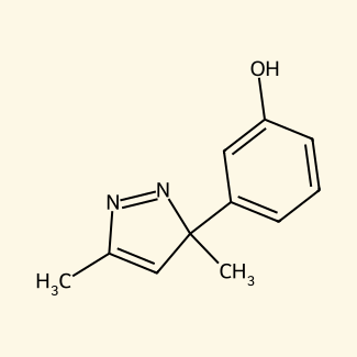 CC1=CC(C)(c2cccc(O)c2)N=N1